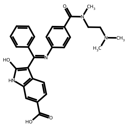 CN(C)CCN(C)C(=O)c1ccc(N=C(c2ccccc2)c2c(O)[nH]c3cc(C(=O)O)ccc23)cc1